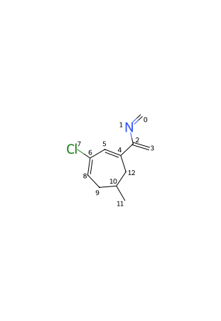 C=NC(=C)C1=CC(Cl)=CCC(C)C1